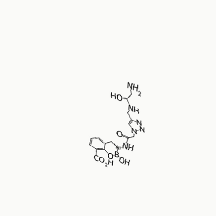 NCC(O)NCc1cn(CC(=O)N[C@H]2Cc3cccc(C(=O)O)c3OB2O)nn1